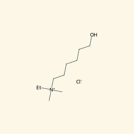 CC[N+](C)(C)CCCCCCO.[Cl-]